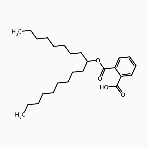 CCCCCCCCCC(CCCCCCCC)OC(=O)c1ccccc1C(=O)O